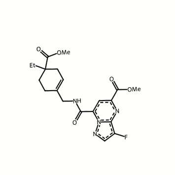 CCC1(C(=O)OC)CC=C(CNC(=O)c2cc(C(=O)OC)nc3c(F)cnn23)CC1